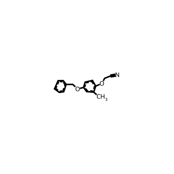 Cc1cc(OCc2ccccc2)ccc1OCC#N